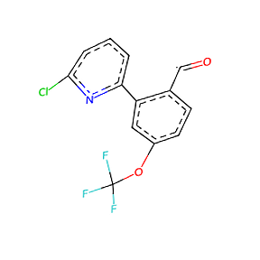 O=[C]c1ccc(OC(F)(F)F)cc1-c1cccc(Cl)n1